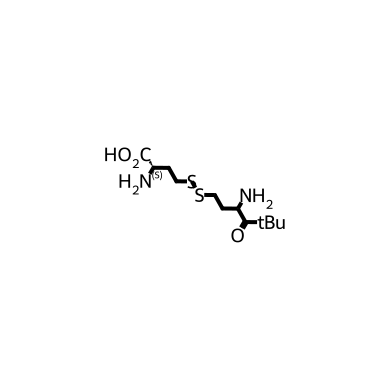 CC(C)(C)C(=O)C(N)CCSSCC[C@H](N)C(=O)O